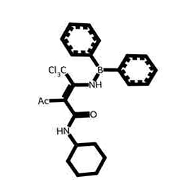 CC(=O)/C(C(=O)NC1CCCCC1)=C(/NB(c1ccccc1)c1ccccc1)C(Cl)(Cl)Cl